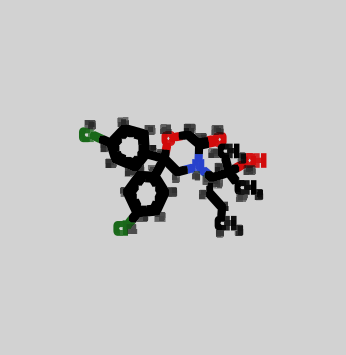 CCC[C@H](N1CC(c2ccc(Cl)cc2)(c2ccc(Cl)cc2)OCC1=O)C(C)(C)O